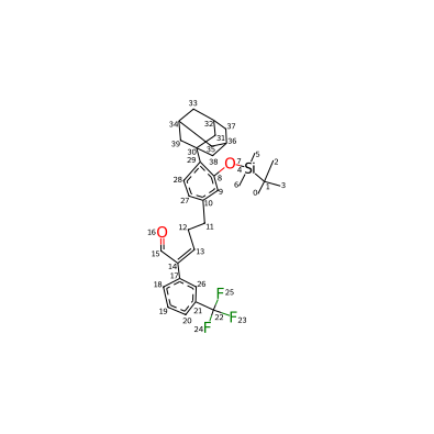 CC(C)(C)[Si](C)(C)Oc1cc(CCC=C(C=O)c2cccc(C(F)(F)F)c2)ccc1C12CC3CC(CC(C3)C1)C2